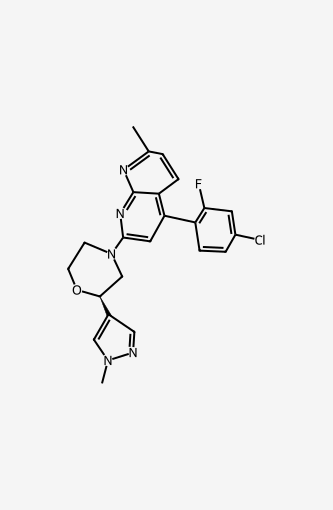 Cc1ccc2c(-c3ccc(Cl)cc3F)cc(N3CCO[C@H](c4cnn(C)c4)C3)nc2n1